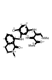 CN/C=C(/Nc1cc(Nc2cccc3c2C(=O)N(C)CC3)c(Cl)cn1)C(=N)C(=O)NC